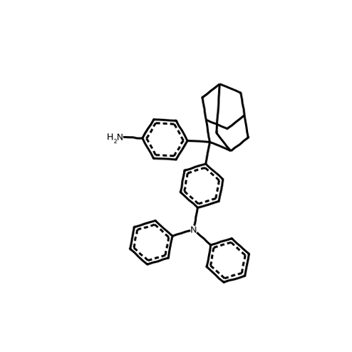 Nc1ccc(C2(c3ccc(N(c4ccccc4)c4ccccc4)cc3)C3CC4CC(C3)CC2C4)cc1